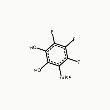 CCCCCCc1c(O)c(O)c(F)c(F)c1F